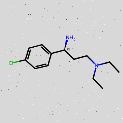 CCN(CC)CC[C@H](N)c1ccc(Cl)cc1